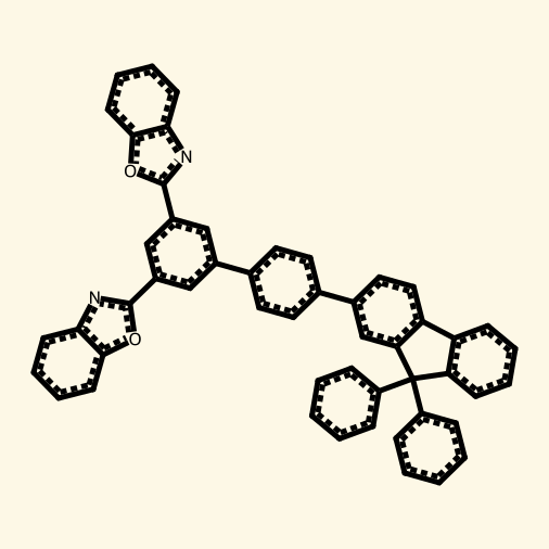 c1ccc(C2(c3ccccc3)c3ccccc3-c3ccc(-c4ccc(-c5cc(-c6nc7ccccc7o6)cc(-c6nc7ccccc7o6)c5)cc4)cc32)cc1